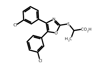 CC(Sc1nc(-c2cccc(Cl)c2)c(-c2cccc(Cl)c2)o1)C(=O)O